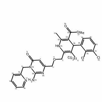 CCOC(=O)C1=C(COCc2cc(=O)n(Cc3ccccn3)c(N)n2)NC(C)=C(C(=O)OC)C1c1cccc(Cl)c1Cl